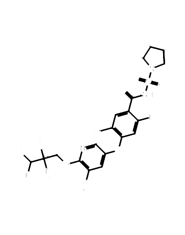 O=C(NS(=O)(=O)N1CCCC1)c1cc(Cl)c(Oc2cnc(OCC(F)(F)C(F)F)c(Cl)c2)cc1F